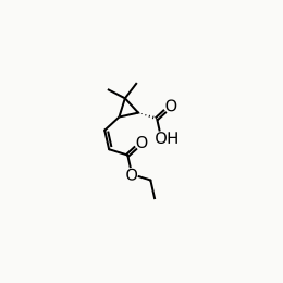 CCOC(=O)/C=C\C1[C@@H](C(=O)O)C1(C)C